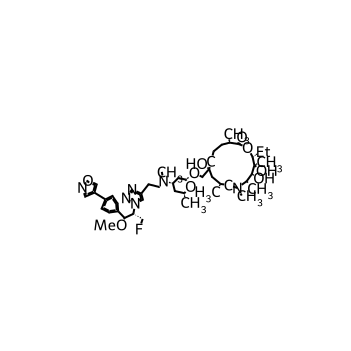 CC[C@H]1OC(=O)[C@H](C)CCC[C@@](O)(CO[C@H]2C[C@@H](N(C)CCc3cn([C@H](CF)[C@H](OC)c4ccc(-c5cnoc5)cc4)nn3)C[C@@H](C)O2)C[C@@H](C)CN(C)[C@H](C)[C@@H](O)[C@]1(C)O